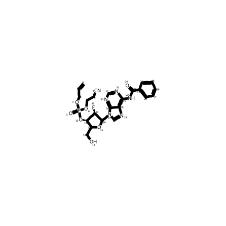 C=CCOP(=O)(OCCC#N)O[C@@H]1C(CO)OC(n2cnc3c(NC(=O)c4ccccc4)ncnc32)[C@@H]1F